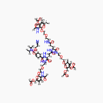 CC[C@H]1OC(OCCOCCNC(=O)CCC(NC(=O)CCC(NC(=O)C2CCC(OP(OCCC#N)N(C(C)C)C(C)C)CC2)C(=O)NCCOCCOC2O[C@H](COC(C)=O)[C@H](C)[C@H](C)[C@H]2NC(C)=O)C(=O)NCCOCCOC2O[C@H](COC(C)=O)[C@H](OC(C)=O)[C@H](C)C2C)[C@H](NC(C)=O)[C@@H](OC(C)=O)[C@H]1C